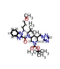 COCCCCn1c(C(=O)N(CC(C)C)[C@H]2CC(Cn3cncn3)CN(C(=O)OC(C)(C)C)C2)nc2ccccc21